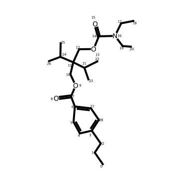 CCCc1ccc(C(=O)OCC(COC(=O)N(CC)CC)(C(C)C)C(C)C)cc1